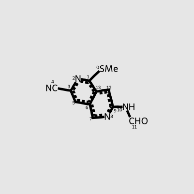 CSc1nc(C#N)cc2cnc(NC=O)cc12